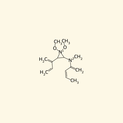 C=CC(=C)C1C([N+](=C)C(=C)/C=C\C)[N+]1(OC)OC